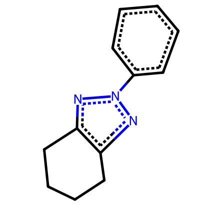 c1ccc(-n2nc3c(n2)CCCC3)cc1